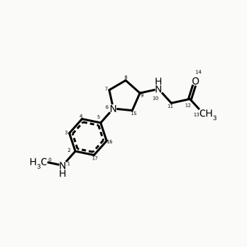 CNc1ccc(N2CCC(NCC(C)=O)C2)cc1